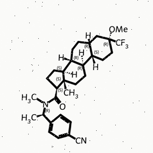 CO[C@]1(C(F)(F)F)CC[C@H]2[C@H](CC[C@@H]3[C@@H]2CC[C@]2(C)[C@@H](C(=O)N(C)[C@H](C)c4ccc(C#N)cc4)CC[C@@H]32)C1